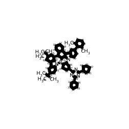 Cc1cccc(C)c1-c1ccc2c(c1)c1c3ccccc3c3c4c1n2-c1cc(-c2nc(-c5ccccc5)nc(-c5ccccc5)n2)ccc1B4n1c2ccc(C(C)(C)C)cc2c2cc(C(C)(C)C)cc-3c21